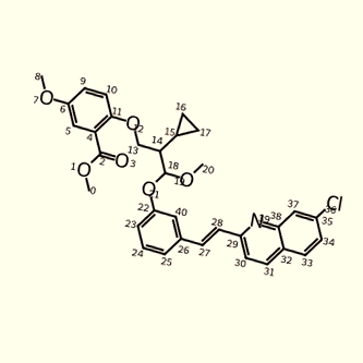 COC(=O)c1cc(OC)ccc1OCC(C1CC1)C(OC)Oc1cccc(/C=C/c2ccc3ccc(Cl)cc3n2)c1